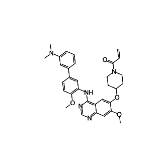 C=CC(=O)N1CCC(Oc2cc3c(Nc4cc(-c5cccc(N(C)C)c5)ccc4OC)ncnc3cc2OC)CC1